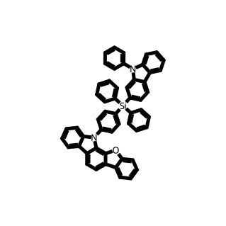 c1ccc(-n2c3ccccc3c3ccc([Si](c4ccccc4)(c4ccccc4)c4ccc(-n5c6ccccc6c6ccc7c8ccccc8oc7c65)cc4)cc32)cc1